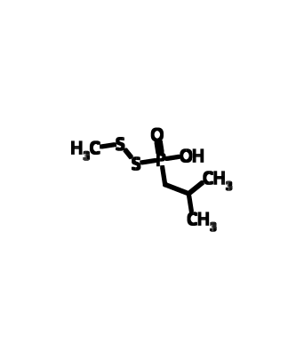 CSSP(=O)(O)CC(C)C